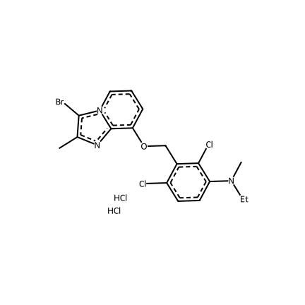 CCN(C)c1ccc(Cl)c(COc2cccn3c(Br)c(C)nc23)c1Cl.Cl.Cl